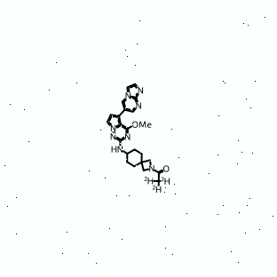 [2H]C([2H])([2H])C(=O)N1CC2(CCC(Nc3nc(OC)c4c(-c5cnc6nccn6c5)ccn4n3)CC2)C1